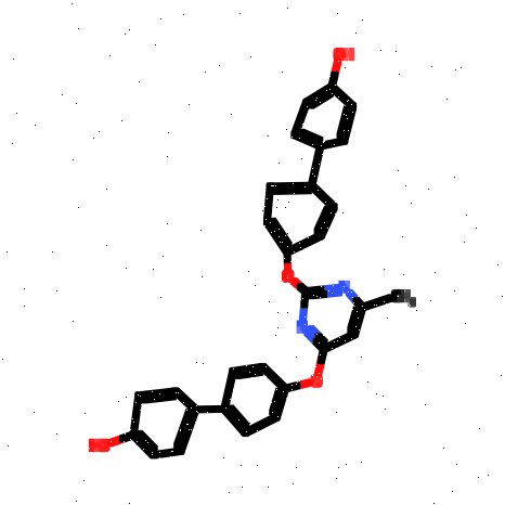 Cc1cc(Oc2ccc(-c3ccc(O)cc3)cc2)nc(Oc2ccc(-c3ccc(O)cc3)cc2)n1